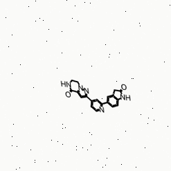 O=C1Cc2cc(-c3cc(-c4cc5n(n4)CCNC5=O)ccn3)ccc2N1